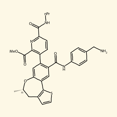 CCCNC(=O)c1ccc(-c2cc3c(cc2C(=O)Nc2ccc(CN)cc2)-c2sccc2C[C@H](C)O3)c(C(=O)OC)n1